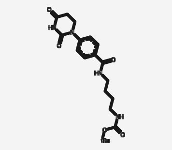 CC(C)(C)OC(=O)NCCCCNC(=O)c1ccc(N2CCC(=O)NC2=O)cc1